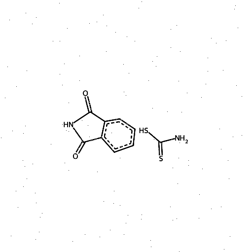 NC(=S)S.O=C1NC(=O)c2ccccc21